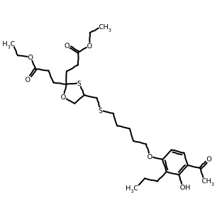 CCCc1c(OCCCCCSCC2COC(CCC(=O)OCC)(CCC(=O)OCC)S2)ccc(C(C)=O)c1O